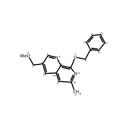 COCc1cnc2c(OCc3ccccc3)nc(C)cc2c1